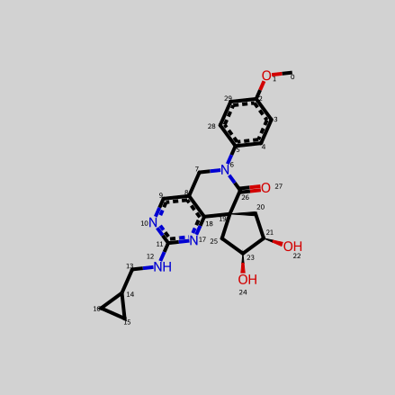 COc1ccc(N2Cc3cnc(NCC4CC4)nc3[C@]3(C[C@@H](O)[C@@H](O)C3)C2=O)cc1